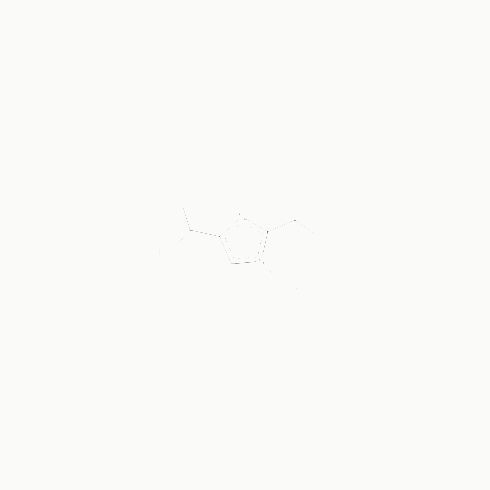 CCc1nc(C(C)C)cn1C